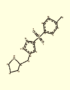 Cc1ccc(S(=O)(=O)c2cn(CC3CCCO3)nn2)cc1